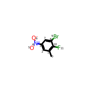 Cc1cc([N+](=O)[O-])cc(Br)c1F